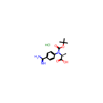 C[C@@H](C(=O)O)N(C(=O)OC(C)(C)C)c1ccc(C(=N)N)cc1.Cl